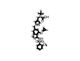 COc1ccccc1S(=O)(=O)Nc1noc2cc(Cn3cc(CN(C(=O)O)C(C)(C)C)cn3)cc(OC3CC3)c12